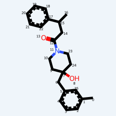 Cc1cccc(CC2(O)CCN(C(=O)CC(C)c3ccccc3)CC2)c1